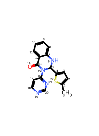 Cc1ccc(C2Nc3ccccc3C(=O)N2c2ccncn2)s1